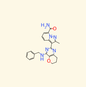 Cc1nn2c(C(N)=O)cccc2c1-c1nc2c(c(NCc3ccccc3)n1)OCCC2